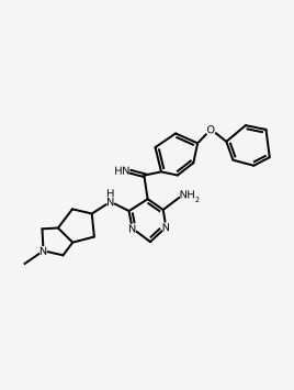 CN1CC2CC(Nc3ncnc(N)c3C(=N)c3ccc(Oc4ccccc4)cc3)CC2C1